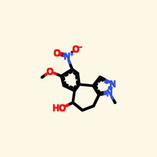 COc1cc2c(cc1[N+](=O)[O-])-c1cnn(C)c1CCC2O